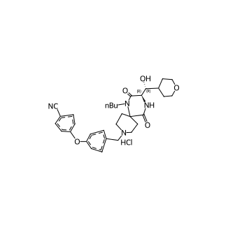 CCCCN1C(=O)[C@@H]([C@H](O)C2CCOCC2)NC(=O)C12CCN(Cc1ccc(Oc3ccc(C#N)cc3)cc1)CC2.Cl